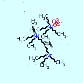 CCCCC[N+](CCCCC)(CCCCC)CCCCC.CCCCC[N+](CCCCC)(CCCCC)CCCCC.CCCCC[N+](CCCCC)(CCCCC)CCCCC.O=P([O-])([O-])[O-]